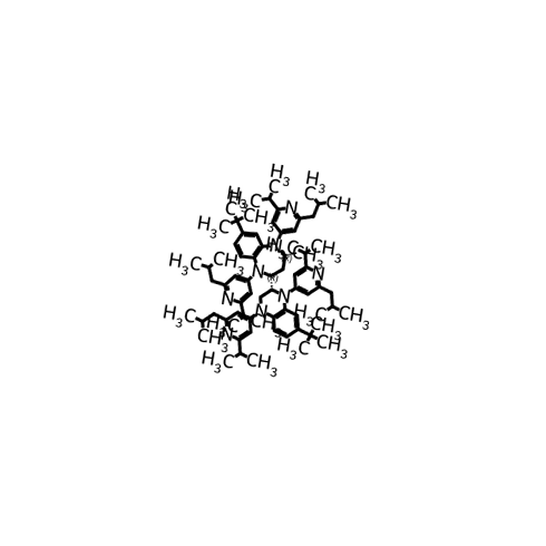 CC(C)Cc1cc(N2CC([C@H]3C[C@@H](C)N(c4cc(CC(C)C)nc(C(C)C)c4)c4cc(C(C)(C)C)ccc4N3c3cc(CC(C)C)nc(C(C)C)c3)N(c3cc(CC(C)C)nc(C(C)C)c3)c3cc(C(C)(C)C)ccc32)cc(C(C)C)n1